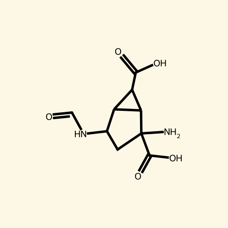 NC1(C(=O)O)CC(NC=O)C2C(C(=O)O)C21